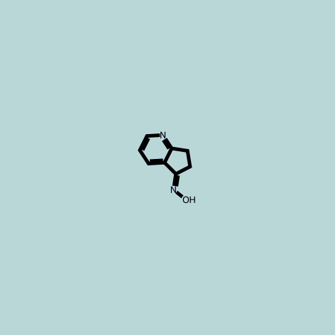 ON=C1CCc2ncccc21